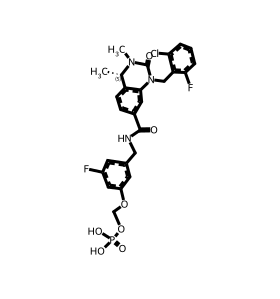 C[C@H]1c2ccc(C(=O)NCc3cc(F)cc(OCOP(=O)(O)O)c3)cc2N(Cc2c(F)cccc2Cl)C(=O)N1C